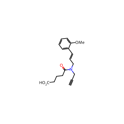 C#CCN(CC=Cc1ccccc1OC)C(=O)CCCC(=O)O